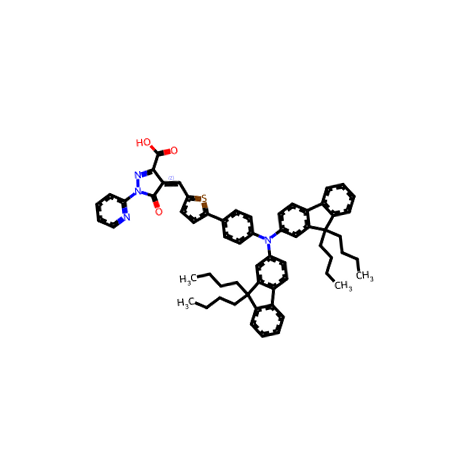 CCCCC1(CCCC)c2ccccc2-c2ccc(N(c3ccc(-c4ccc(/C=C5\C(=O)N(c6ccccn6)N=C5C(=O)O)s4)cc3)c3ccc4c(c3)C(CCCC)(CCCC)c3ccccc3-4)cc21